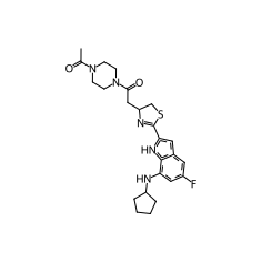 CC(=O)N1CCN(C(=O)CC2CSC(c3cc4cc(F)cc(NC5CCCC5)c4[nH]3)=N2)CC1